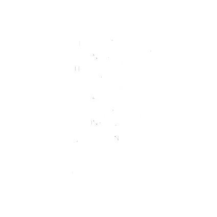 CN(C)S(=O)(=O)c1ccccc1-c1ccc2c(c1)S(=O)(=O)NC(C1CCCCC1)N2